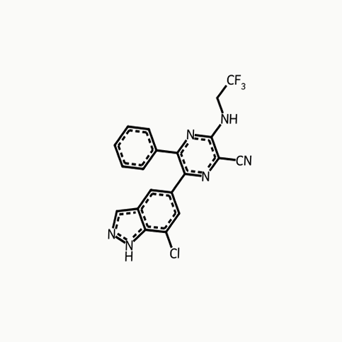 N#Cc1nc(-c2cc(Cl)c3[nH]ncc3c2)c(-c2ccccc2)nc1NCC(F)(F)F